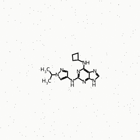 CC(C)n1cc(Nc2nc(NC3CCC3)c3nc[nH]c3n2)cn1